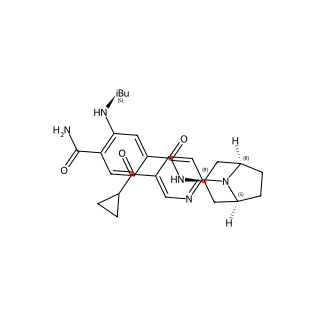 CC[C@H](C)Nc1cc(C(=O)N[C@H]2C[C@H]3CC[C@@H](C2)N3c2ccc(C(=O)C3CC3)cn2)ccc1C(N)=O